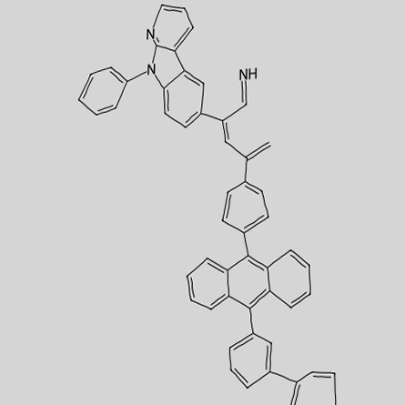 C=C(/C=C(\C=N)c1ccc2c(c1)c1cccnc1n2-c1ccccc1)c1ccc(-c2c3ccccc3c(-c3cccc(-c4ccccc4)c3)c3ccccc23)cc1